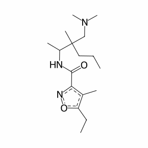 CCCC(C)(CN(C)C)C(C)NC(=O)c1noc(CC)c1C